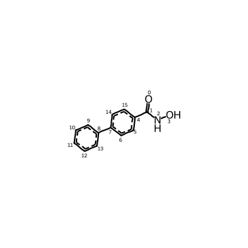 O=C(NO)c1ccc(-c2ccccc2)cc1